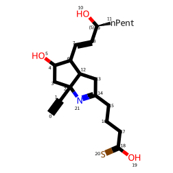 C#CC12CC(O)C(C=C[C@@H](O)CCCCC)C1CC(CCCC(O)=S)=N2